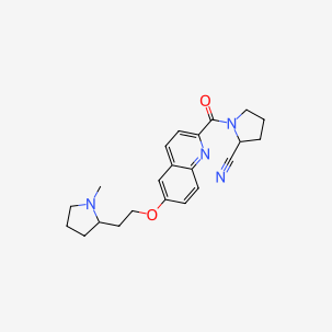 CN1CCCC1CCOc1ccc2nc(C(=O)N3CCCC3C#N)ccc2c1